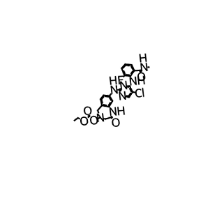 CCOC(=O)ON1CC(=O)Nc2cc(Nc3ncc(Cl)c(Nc4c(F)cccc4C(=O)NC)n3)ccc2C1